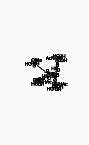 CO[C@@H]1C[C@@H](O)C[C@@H]1NC(=O)CCCCCCCCCCC(=O)CNC(CCC(=O)NC(CCC(=O)NCCOCCOC1OC(CO)C(O)C(O)C1NC(C)=O)C(=O)NCCOCCOC1O[C@H](CO)C(O)C(O)C1NC(C)=O)C(=O)NCCOCCOC1OC(CO)C(O)C(O)C1NC(C)=O